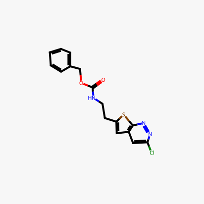 O=C(NCCc1cc2cc(Cl)nnc2s1)OCc1ccccc1